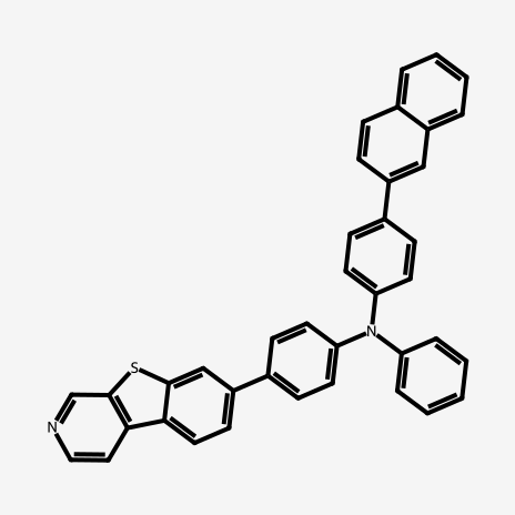 c1ccc(N(c2ccc(-c3ccc4ccccc4c3)cc2)c2ccc(-c3ccc4c(c3)sc3cnccc34)cc2)cc1